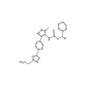 C[C@@H](OC(=O)Nc1c(-c2ccc(-c3nnc(CC(=O)O)o3)cc2)nnn1C)c1ccccc1